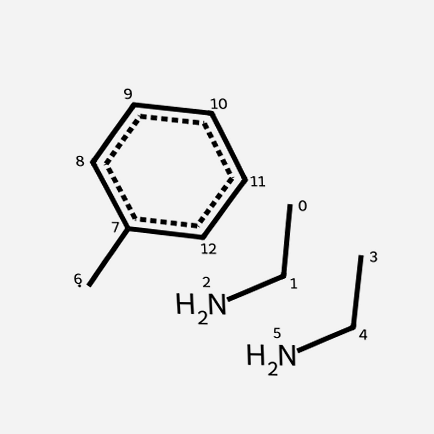 CCN.CCN.[CH2]c1ccccc1